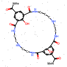 CNC(=O)c1cc2c(O)c(c1)C(=O)NCCNCCNC(=O)c1cc(C(=O)NC)cc(c1O)C(=O)NCCNCCCNC2=O